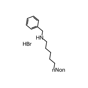 Br.CCCCCCCCCCCCCCNCc1ccccc1